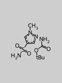 CC(C)(C)OC(N)=O.Cn1cc(S(N)(=O)=O)cn1